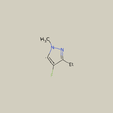 CCc1nn(C)[c]c1F